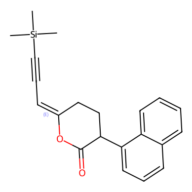 C[Si](C)(C)C#C/C=C1\CCC(c2cccc3ccccc23)C(=O)O1